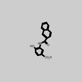 O=C(O)c1ccc(O)c(NC(=O)c2ccc3ccccc3c2)c1